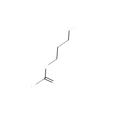 CCCCCCCOC(=O)CC